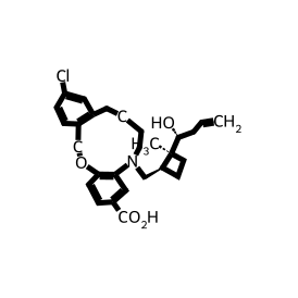 C=CC[C@@H](O)[C@@]1(C)CC[C@H]1CN1CCCCc2cc(Cl)ccc2COc2ccc(C(=O)O)cc21